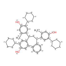 Cc1cc(O)c(C2CCCCC2)cc1C1CC(c2cc(C3CCCCC3)c(O)cc2C)c2cc(C3CCCCC3)c(O)cc2-c2ccccc21